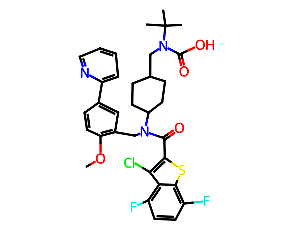 COc1ccc(-c2ccccn2)cc1CN(C(=O)c1sc2c(F)ccc(F)c2c1Cl)C1CCC(CN(C(=O)O)C(C)(C)C)CC1